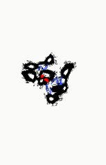 c1ccc(-c2ccc(-n3c4ccccc4c4ccc5c6ccccc6n(-c6cccc(-n7c8ccccc8c8ccccc87)c6)c5c43)cc2)cc1